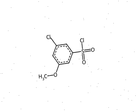 COc1cc(Cl)cc(S(=O)(=O)Cl)c1